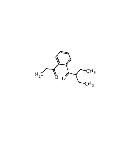 CCC(=O)c1ccccc1C(=O)C(CC)CC